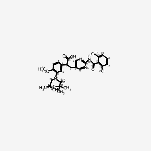 COc1ccc(C(Cc2cnc(NC(=O)c3c(Cl)cccc3Cl)nc2)C(=O)O)cc1N(CC(C)C)C(=O)C(C)(C)C